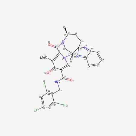 COc1c2n(cc(C(=O)NCc3c(F)cc(F)cc3F)c1=O)[C@@H]1CN(C2=O)[C@@H](C)CCC12N=c1ccccc1=N2